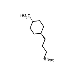 CCCCCCCCCC[C@H]1CC[C@H](C(=O)O)CC1